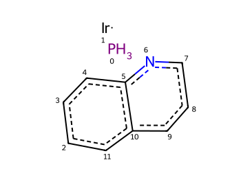 P.[Ir].c1ccc2ncccc2c1